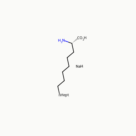 CCCCCCCCCCCCC[C@H](N)C(=O)O.[NaH]